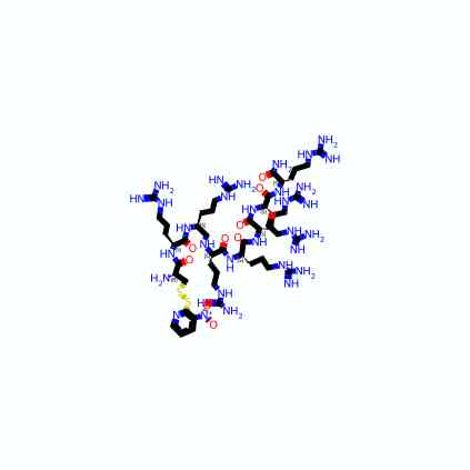 N=C(N)NCCC[C@@H](CN[C@@H](CCCNC(=N)N)C(=O)N[C@@H](CCCNC(=N)N)C(=O)N[C@@H](CCCNC(=N)N)C(=O)N[C@@H](CCCNC(=N)N)C(=O)N[C@@H](CCCNC(=N)N)C(N)=O)NC(=O)[C@H](CCCNC(=N)N)NC(=O)[C@@H](N)CSSc1ncccc1[N+](=O)[O-]